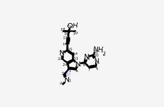 C/N=C/c1cn(-c2ccnc(N)n2)c2cc(C#CC(C)(C)O)ncc12